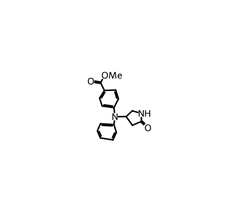 COC(=O)c1ccc(N(c2ccccc2)C2CNC(=O)C2)cc1